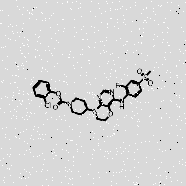 CS(=O)(=O)c1ccc(Nc2ncnc3c2OCCN3C2CCN(C(=O)Oc3ccccc3Cl)CC2)c(F)c1